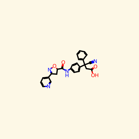 N#CC(CC(=O)O)(c1ccccc1)c1ccc(NC(=O)C2CC(c3cccnc3)=NO2)cc1